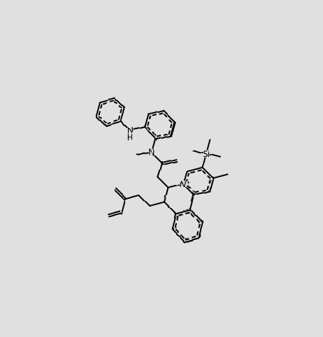 C=CC(=C)CCC1c2ccccc2-c2cc(C)c([Si](C)(C)C)c[n+]2C1CC(=C)N(C)c1ccccc1Nc1ccccc1